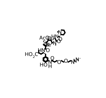 CC[C@H](C)[C@H](NC(=O)[C@H]1CCCCN1C)C(=O)N(C)[C@H](C[C@@H](OC(C)=O)c1nc(C(=O)N[C@@H](Cc2ccc(O)c(NC(=O)CCOCCOCCN=[N+]=[N-])c2)CC(C)C(=O)O)cs1)C(C)C